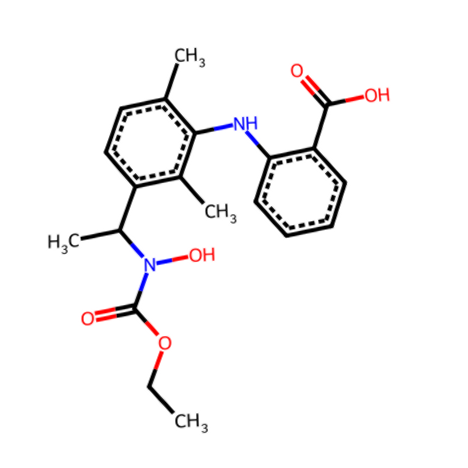 CCOC(=O)N(O)C(C)c1ccc(C)c(Nc2ccccc2C(=O)O)c1C